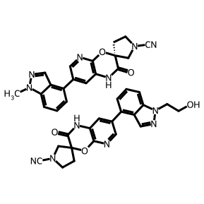 Cn1ncc2c(-c3cnc4c(c3)NC(=O)[C@@]3(CCN(C#N)C3)O4)cccc21.N#CN1CCC2(C1)Oc1ncc(-c3cccc4c3cnn4CCO)cc1NC2=O